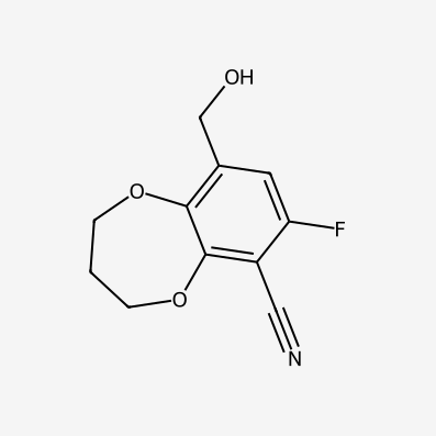 N#Cc1c(F)cc(CO)c2c1OCCCO2